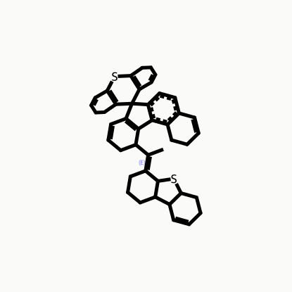 C/C(=C1/CCCC2C1SC1CCC=CC12)C1CC=CC2=C1c1c(ccc3c1CCC=C3)C21C2=C(CCC=C2)SC2=C1CCC=C2